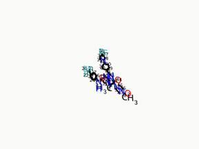 CC(=O)N1CCN(c2c(C)n(CC(=O)Nc3ccc(C(F)(F)F)cc3)c3nc(C4=CCC(N5CCC(F)(F)C5)CC4)nn3c2=O)CC1